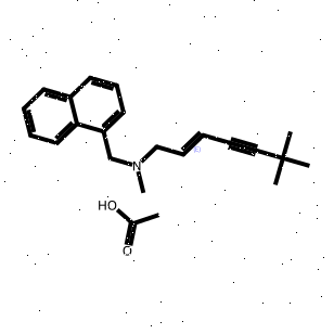 CC(=O)O.CN(C/C=C/C#CC(C)(C)C)Cc1cccc2ccccc12